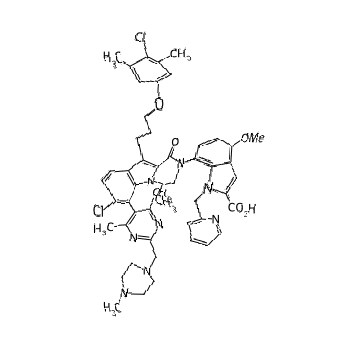 COc1ccc(N2CC(C)n3c(c(CCCOc4cc(C)c(Cl)c(C)c4)c4ccc(Cl)c(-c5c(C)nc(CN6CCN(C)CC6)nc5C)c43)C2=O)c2c1cc(C(=O)O)n2Cc1ccccn1